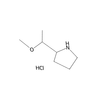 COC(C)C1CCCN1.Cl